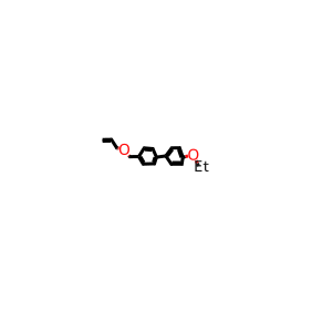 C=CCOCc1ccc(-c2ccc(OCC)cc2)cc1